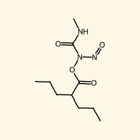 CCCC(CCC)C(=O)ON(N=O)C(=O)NC